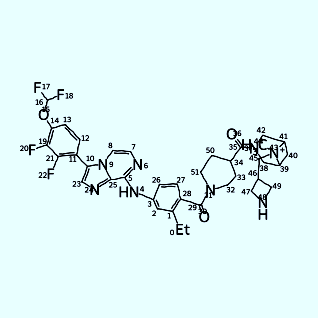 CCc1cc(Nc2nccn3c(-c4ccc(OC(F)F)c(F)c4F)cnc23)ccc1C(=O)N1CCC(C(=O)N2CC3CC(C2)[N+]3(C)CC2CNC2)CC1